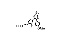 CCCCc1cnc(-c2ccc(OC)cc2)c(-c2ccc(CCC(=O)O)c(F)c2)n1